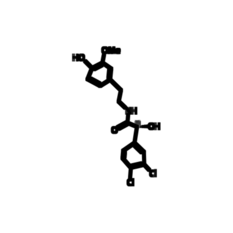 COc1cc(CCNC(=O)[C@H](O)c2ccc(Cl)c(Cl)c2)ccc1O